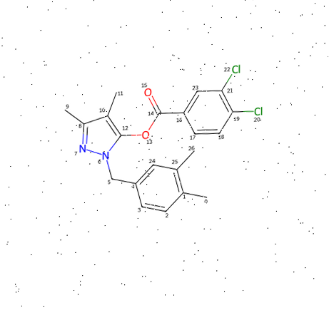 Cc1ccc(Cn2nc(C)c(C)c2OC(=O)c2ccc(Cl)c(Cl)c2)cc1C